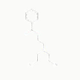 N#CCCN(CCC#N)CCOC(=O)c1ccccc1